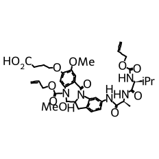 C=CCOC(=O)N[C@H](C(=O)N[C@@H](C)C(=O)Nc1ccc2c(c1)N1C(=O)c3cc(OC)c(OCCCC(=O)O)cc3N(C(=O)OCC=C)[C@@H](OC)[C@@H]1C2)C(C)C